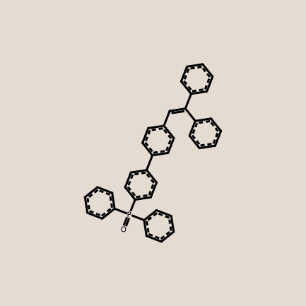 O=P(c1ccccc1)(c1ccccc1)c1ccc(-c2ccc(C=C(c3ccccc3)c3ccccc3)cc2)cc1